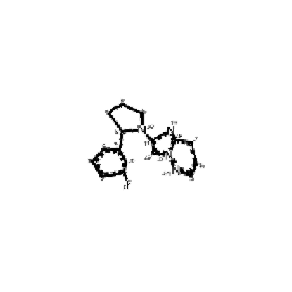 Fc1cccc(C2CCCN2c2cn3ncccc3n2)c1